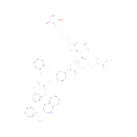 Cc1cccc(-c2nc(CN(CCc3c(F)cccc3F)C(=O)OCc3ccc(NC(=O)C(CCCNC(N)=O)NC(=O)[C@@H](NC(=O)CCCCCN4C(=O)C=CC4=O)C(C)C)cc3)[nH]c2-c2ccnc3ccccc23)n1